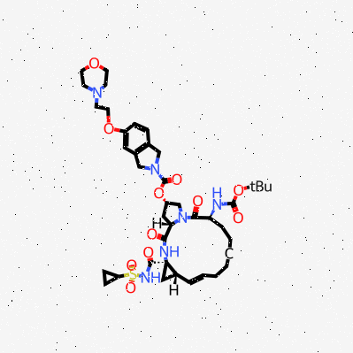 CC(C)(C)OC(=O)N[C@H]1CCCCC/C=C/[C@@H]2C[C@@]2(C(=O)NS(=O)(=O)C2CC2)NC(=O)[C@@H]2C[C@@H](OC(=O)N3Cc4ccc(OCCN5CCOCC5)cc4C3)CN2C1=O